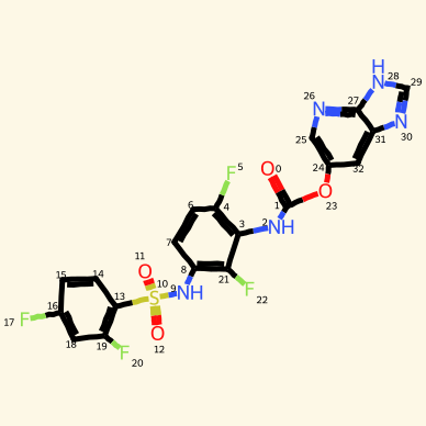 O=C(Nc1c(F)ccc(NS(=O)(=O)c2ccc(F)cc2F)c1F)Oc1cnc2[nH]cnc2c1